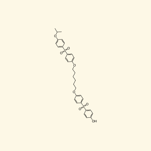 CC(C)Oc1ccc(S(=O)(=O)c2ccc(OCCCCCCOc3ccc(S(=O)(=O)c4ccc(O)cc4)cc3)cc2)cc1